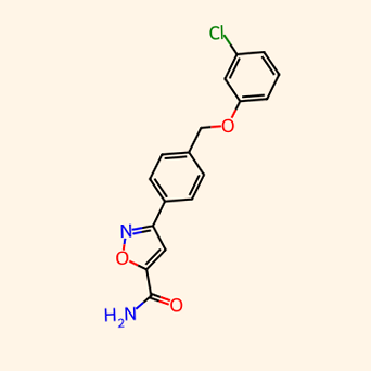 NC(=O)c1cc(-c2ccc(COc3cccc(Cl)c3)cc2)no1